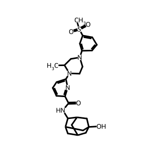 CC1CN(c2cccc(S(C)(=O)=O)c2)CCN1c1cccc(C(=O)NC2C3CC4CC2CC(O)(C4)C3)n1